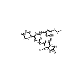 CCCc1cc(Nc2cc(N3CCN(C)CC3)nc(Oc3cc(F)c4[nH]c(C)cc4c3F)n2)n[nH]1